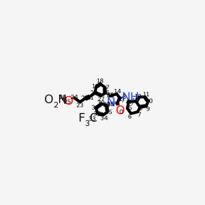 O=C1[C@H](N[C@@H]2CCCc3ccccc32)C[C@H](c2cccc(C#CCCO[N+](=O)[O-])c2)N1c1ccc(C(F)(F)F)cc1